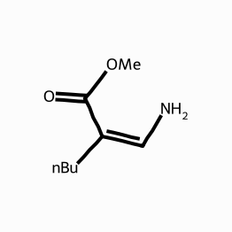 CCCCC(=CN)C(=O)OC